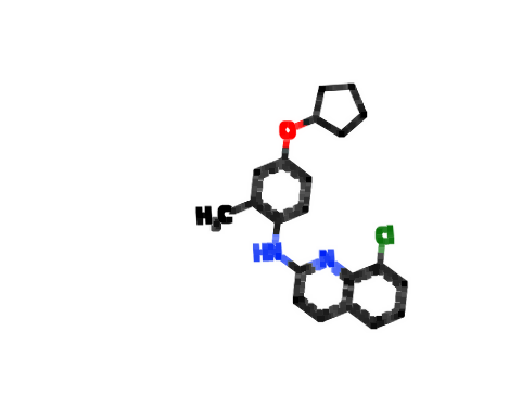 Cc1cc(OC2CCCC2)ccc1Nc1ccc2cccc(Cl)c2n1